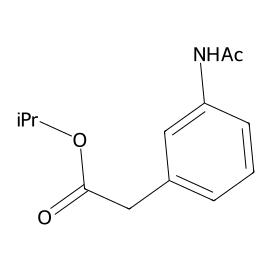 CC(=O)Nc1cccc(CC(=O)OC(C)C)c1